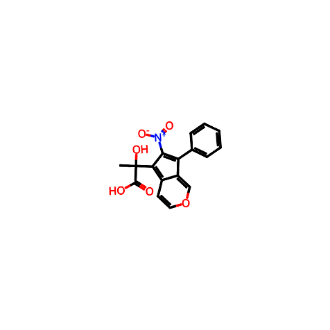 CC(O)(C(=O)O)c1c2ccocc-2c(-c2ccccc2)c1[N+](=O)[O-]